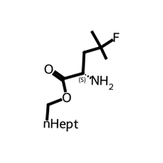 CCCCCCCCOC(=O)[C@@H](N)CC(C)(C)F